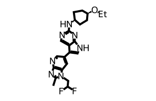 CCO[C@H]1CC[C@@H](Nc2ncc3c(-c4cnc5nc(C)n(CC(F)F)c5c4)c[nH]c3n2)CC1